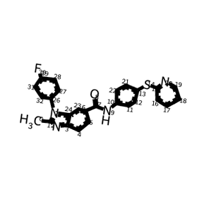 Cc1nc2ccc(C(=O)Nc3ccc(Sc4ccccn4)cc3)cc2n1-c1ccc(F)cc1